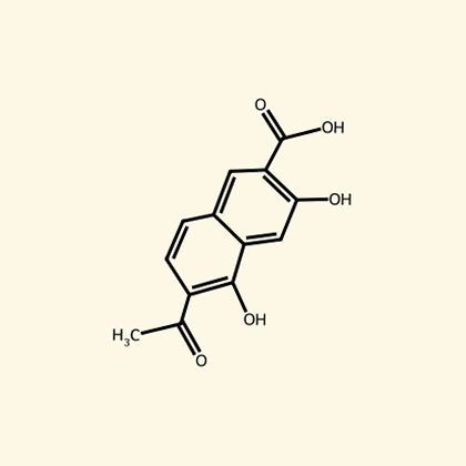 CC(=O)c1ccc2cc(C(=O)O)c(O)cc2c1O